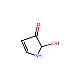 O=C1C=CNC1O